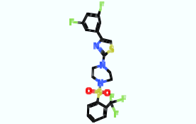 O=S(=O)(c1ccccc1C(F)(F)F)N1CCN(c2nc(-c3cc(F)cc(F)c3)cs2)CC1